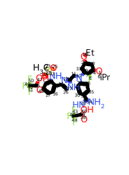 CCOc1cc(OC(C)C)c(F)c(N(Cc2nc(-c3ccccc3NS(C)(=O)=O)c[nH]2)c2ccc(C(=N)N)cc2)c1.O=C(O)C(F)(F)F.O=C(O)C(F)(F)F